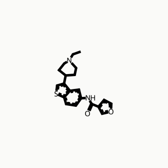 CCN1CCC(c2csc3ccc(NC(=O)c4ccoc4)cc23)CC1